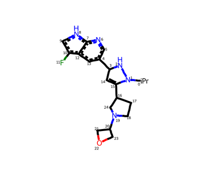 CC(C)N1NC(c2cnc3[nH]cc(F)c3c2)C=C1C1CCN(C2COC2)C1